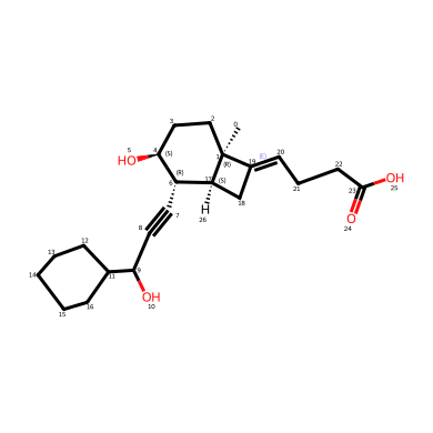 C[C@@]12CC[C@H](O)[C@@H](C#CC(O)C3CCCCC3)[C@@H]1C/C2=C\CCC(=O)O